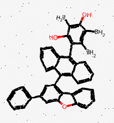 Bc1c(B)c(-c2c3ccccc3c(-c3cc(-c4ccccc4)cc4oc5ccccc5c34)c3ccccc23)c(O)c(B)c1O